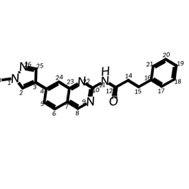 Cn1cc(-c2ccc3cnc(NC(=O)CCc4ccccc4)nc3c2)cn1